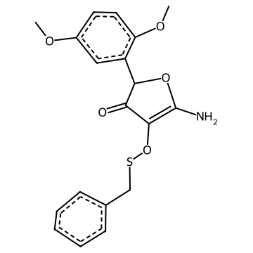 COc1ccc(OC)c(C2OC(N)=C(OSCc3ccccc3)C2=O)c1